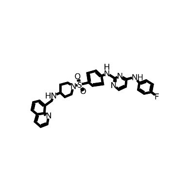 O=S(=O)(c1ccc(Nc2nccc(Nc3ccc(F)cc3)n2)cc1)N1CCC(NCc2cccc3cccnc23)CC1